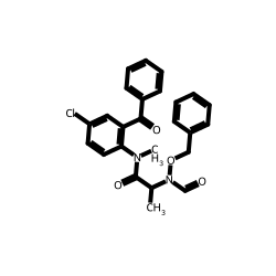 CC(C(=O)N(C)c1ccc(Cl)cc1C(=O)c1ccccc1)N(C=O)OCc1ccccc1